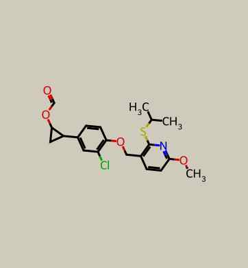 COc1ccc(COc2ccc(C3CC3OC=O)cc2Cl)c(SC(C)C)n1